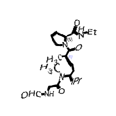 CCNC(=O)[C@@H]1CCCN1C(=O)/C(C)=C/C(C(C)C)N(C)C(=O)CNC=O